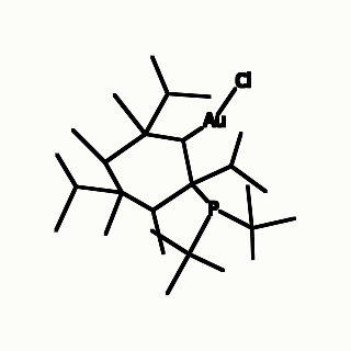 CC(C)C1(C)C(C)C(C)(C(C)C)[CH]([Au][Cl])C(C(C)C)(P(C(C)(C)C)C(C)(C)C)C1C